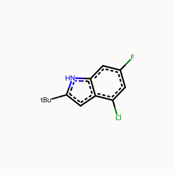 CC(C)(C)c1cc2c(Cl)cc(F)cc2[nH]1